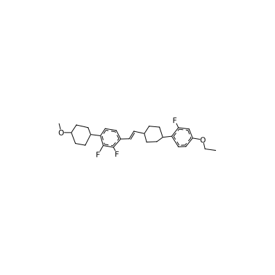 CCOc1ccc(C2CCC(/C=C/c3ccc(C4CCC(OC)CC4)c(F)c3F)CC2)c(F)c1